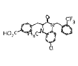 CN1c2cc(Cl)ccc2N(Cc2ccccc2C(F)(F)F)C(=O)C1Cc1ccc(C(=O)O)cc1